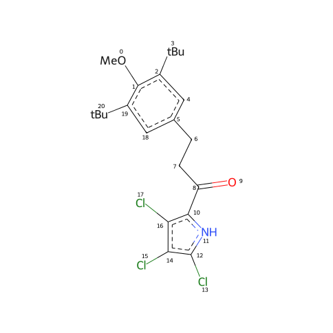 COc1c(C(C)(C)C)cc(CCC(=O)c2[nH]c(Cl)c(Cl)c2Cl)cc1C(C)(C)C